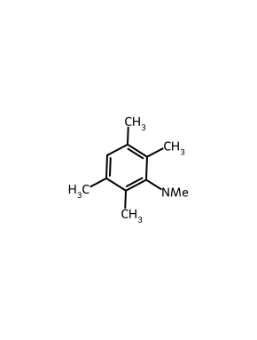 CNc1c(C)c(C)cc(C)c1C